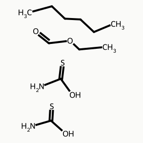 CCCCCC.CCOC=O.NC(O)=S.NC(O)=S